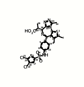 Cc1sc2c(c1C)C(c1ccc(NS(=O)(=O)c3cc(Cl)c(Cl)s3)cc1)=N[C@@H](C(C)C(=O)O)c1nnc(C)n1-2